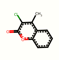 Cc1c(Cl)c(=O)oc2c[c]ccc12